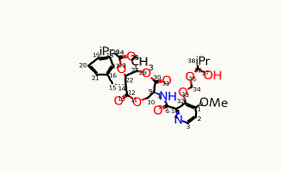 COc1ccnc(C(=O)N[C@H]2COC(=O)[C@H](Cc3ccccc3)[C@@H](OC(=O)C(C)C)[C@H](C)OC2=O)c1OCOC(O)C(C)C